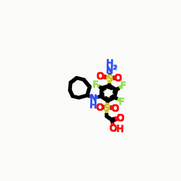 NS(=O)(=O)c1c(F)c(F)c(S(=O)(=O)CC(=O)O)c(NC2CCCCCCC2)c1F